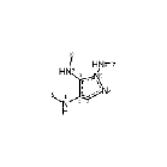 CNc1[c]nn(NC)c1NC